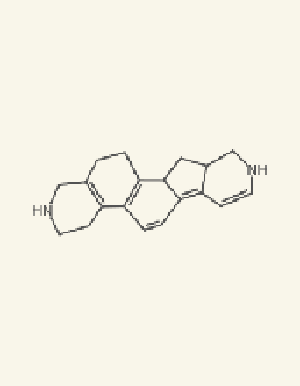 C1=CC2=C3C=CC4=C(CCC5=C4CCNC5)C3CC2CN1